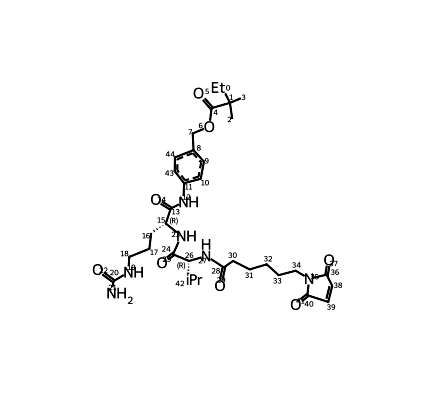 CCC(C)(C)C(=O)OCc1ccc(NC(=O)[C@@H](CCCNC(N)=O)NC(=O)[C@H](NC(=O)CCCCCN2C(=O)C=CC2=O)C(C)C)cc1